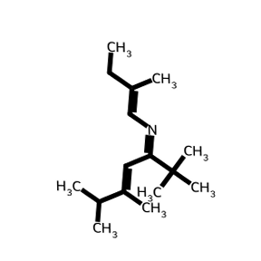 CC/C(C)=C/N=C(\C=C(/C)C(C)C)C(C)(C)C